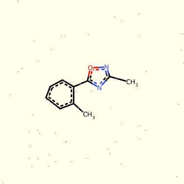 Cc1noc(-c2ccccc2C)n1